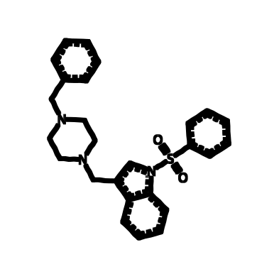 O=S(=O)(c1ccccc1)n1cc(CN2CCN(Cc3ccccc3)CC2)c2ccccc21